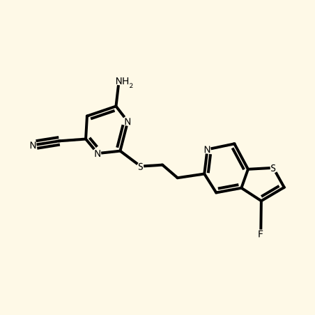 N#Cc1cc(N)nc(SCCc2cc3c(F)csc3cn2)n1